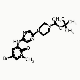 Cn1cc(Br)cc(Nc2cnc(N3CCN(C(=O)OC(C)(C)C)CC3)cn2)c1=O